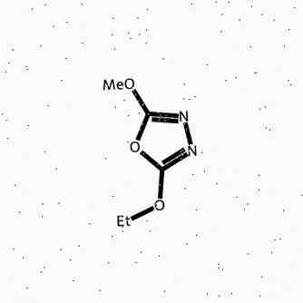 CCOc1nnc(OC)o1